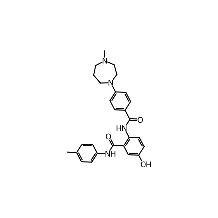 Cc1ccc(NC(=O)c2cc(O)ccc2NC(=O)c2ccc(N3CCCN(C)CC3)cc2)cc1